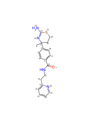 CC1(c2ccc(C(=O)NCCc3ccccn3)cc2)CCSC(N)=N1